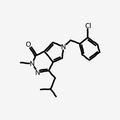 CC(C)Cc1nn(C)c(=O)c2cn(Cc3ccccc3Cl)cc12